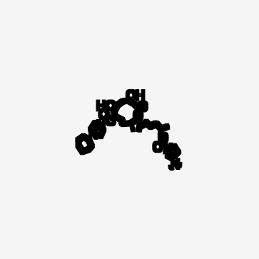 C/C(=C\C=C\C(C)COC(=O)N1CC[C@H](N(C)C)C1)[C@H]1OC(=O)C[C@@H](O)CC[C@](C)(O)[C@@H](OC(=O)N2CCN(C3CCCCCC3)CC2)/C=C/[C@@H]1C